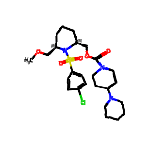 COC[C@H]1CCC[C@@H](COC(=O)N2CCC(N3CCCCC3)CC2)N1S(=O)(=O)c1ccc(Cl)cc1